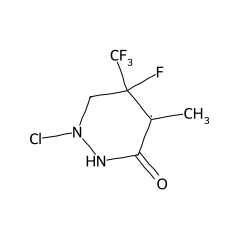 C[C]1C(=O)NN(Cl)CC1(F)C(F)(F)F